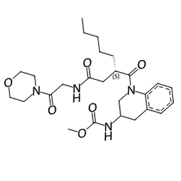 CCCCC[C@@H](CC(=O)NCC(=O)N1CCOCC1)C(=O)N1CC(NC(=O)OC)Cc2ccccc21